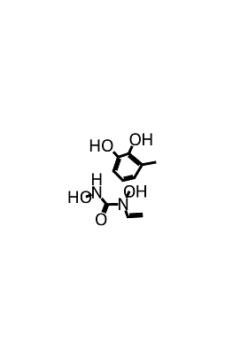 C=CN(O)C(=O)NO.Cc1cccc(O)c1O